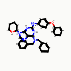 c1ccc(CN(Cc2ccccc2)c2nc(Nc3ccc(Oc4ccccc4)cc3)nc3c2ncn3C2CCCCO2)cc1